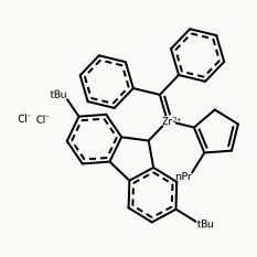 CCCC1=[C]([Zr+2](=[C](c2ccccc2)c2ccccc2)[CH]2c3cc(C(C)(C)C)ccc3-c3ccc(C(C)(C)C)cc32)CC=C1.[Cl-].[Cl-]